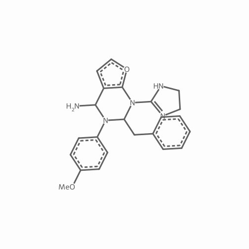 COc1ccc(N2C(N)c3ccoc3N(C3=NCCN3)C2Cc2ccccc2)cc1